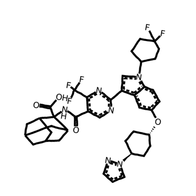 O=C(NC1(C(=O)O)C2CC3CC(C2)CC1C3)c1cnc(-c2cn(C3CCC(F)(F)CC3)c3ccc(O[C@H]4CC[C@H](n5cccn5)CC4)cc23)nc1C(F)(F)F